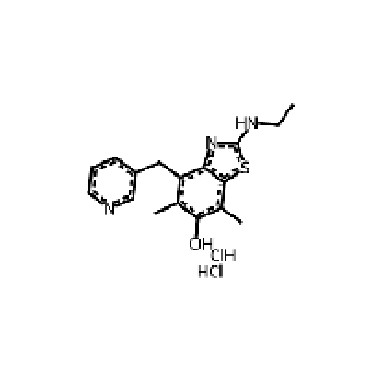 CCNc1nc2c(Cc3cccnc3)c(C)c(O)c(C)c2s1.Cl.Cl